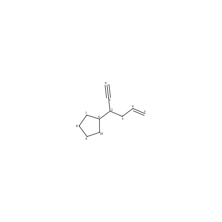 [C]#CC(CC=C)C1CCCC1